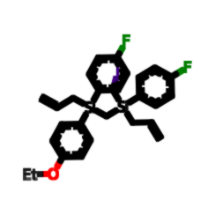 C=CC[Si](CI)(C[Si](CC=C)(c1ccc(F)cc1)c1ccc(OCC)cc1)c1ccc(F)cc1